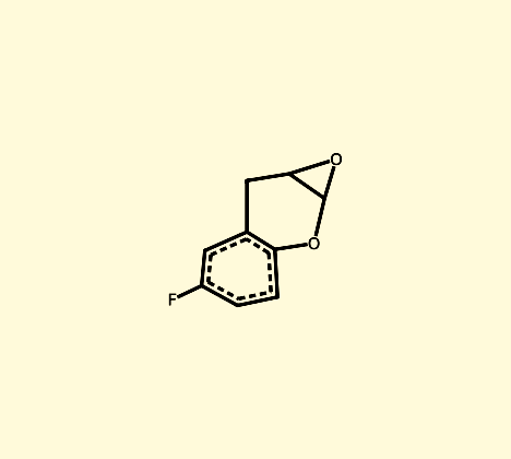 Fc1ccc2c(c1)CC1OC1O2